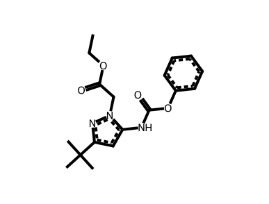 CCOC(=O)Cn1nc(C(C)(C)C)cc1NC(=O)Oc1ccccc1